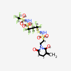 C=C1CCC(=O)N(CCS(=O)(=O)NSC(F)(F)C(F)(F)C(F)(F)S(=O)(=O)NS(=O)(=O)C(F)(F)F)C1=O